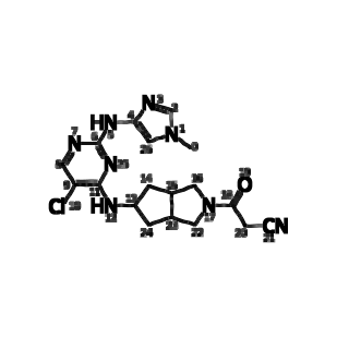 Cn1cnc(Nc2ncc(Cl)c(NC3CC4CN(C(=O)CC#N)CC4C3)n2)c1